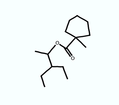 CCC(CC)C(C)OC(=O)C1(C)CCCCC1